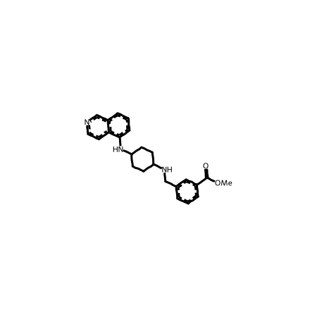 COC(=O)c1cccc(CNC2CCC(Nc3cccc4cnccc34)CC2)c1